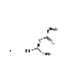 CCC(=CC(=O)OC)OC